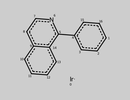 [Ir].c1ccc(-c2nccc3ccccc23)cc1